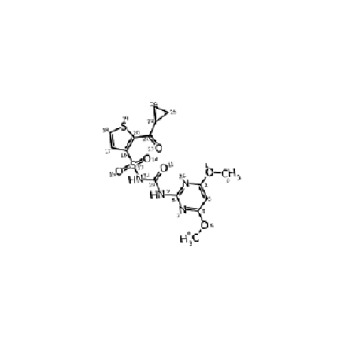 COc1cc(OC)nc(NC(=O)NS(=O)(=O)c2ccsc2C(=O)C2CC2)n1